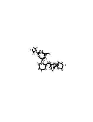 Cc1cc(N2CCCCC2CC(=O)NC2(C#N)CCCCC2)nc(-n2ccnc2)n1